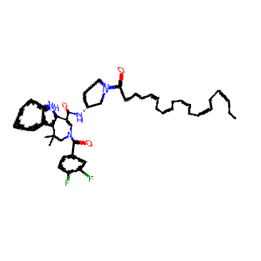 CC/C=C\C/C=C\C/C=C\C/C=C\C/C=C\CCCC(=O)N1CC[C@@H](NC(=O)C2=CN(C(=O)c3ccc(F)c(F)c3)CC(C)(C)c3c2[nH]c2ccccc32)C1